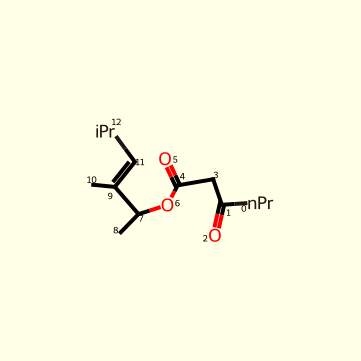 CCCC(=O)CC(=O)OC(C)C(C)=CC(C)C